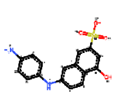 Nc1ccc(Nc2ccc3c(O)cc(S(=O)(=O)O)cc3c2)cc1